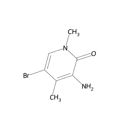 Cc1c(Br)cn(C)c(=O)c1N